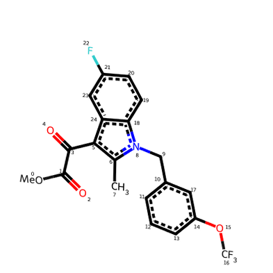 COC(=O)C(=O)c1c(C)n(Cc2cccc(OC(F)(F)F)c2)c2ccc(F)cc12